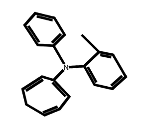 Cc1ccccc1N(C1=CC=CCC=C1)c1ccccc1